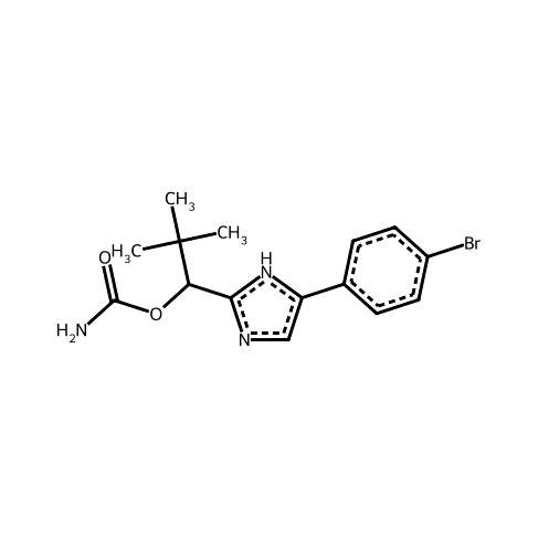 CC(C)(C)C(OC(N)=O)c1ncc(-c2ccc(Br)cc2)[nH]1